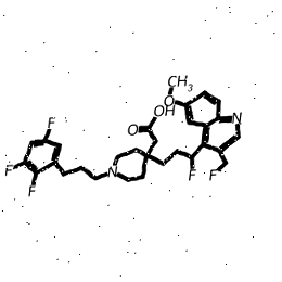 COc1ccc2ncc(CF)c(C(F)CCC3(CC(=O)O)CCN(CCCc4cc(F)cc(F)c4F)CC3)c2c1